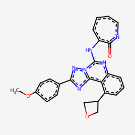 COc1ccc(-c2nc3c4c(C5COC5)cccc4nc(Nc4ccccnc4=O)n3n2)cc1